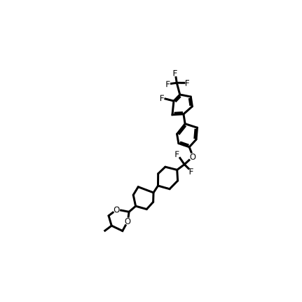 CC1COC(C2CCC(C3CCC(C(F)(F)Oc4ccc(-c5ccc(C(F)(F)F)c(F)c5)cc4)CC3)CC2)OC1